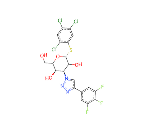 OCC1O[C@H](Sc2cc(Cl)c(Cl)cc2Cl)C(O)[C@@H](n2cc(-c3cc(F)c(F)c(F)c3)nn2)[C@H]1O